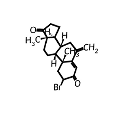 C=C1C[C@@H]2[C@@H](CC[C@]3(C)C(=O)CC[C@@H]23)[C@@]2(C)CC(Br)C(=O)C=C12